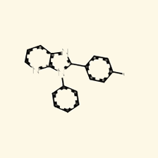 Clc1ccc(-c2nc3cccnc3n2-c2[c]cccc2)cc1